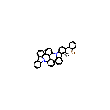 Cc1c(-c2ccccc2S)ccc2c1c1ccccc1n2-c1ccccc1C1C=CC=CC1n1c2ccccc2c2ccccc21